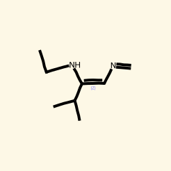 C=N/C=C(\NCC)C(C)C